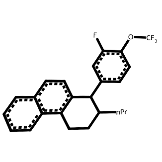 CCCC1CCc2c(ccc3ccccc23)C1c1ccc(OC(F)(F)F)c(F)c1